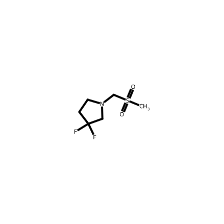 CS(=O)(=O)CN1CCC(F)(F)C1